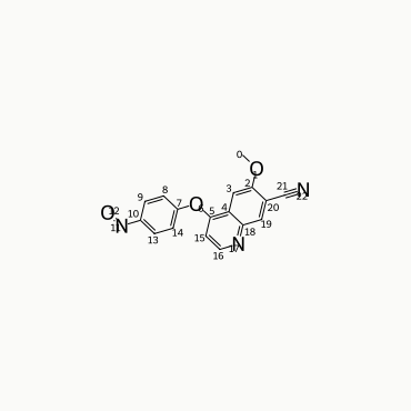 COc1cc2c(Oc3ccc(N=O)cc3)ccnc2cc1C#N